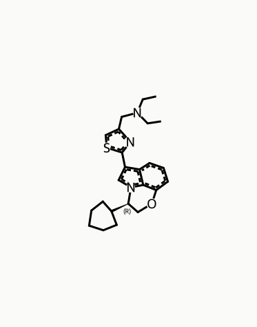 CCN(CC)Cc1csc(-c2cn3c4c(cccc24)OC[C@H]3C2CCCCC2)n1